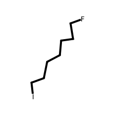 FCCCCCCCI